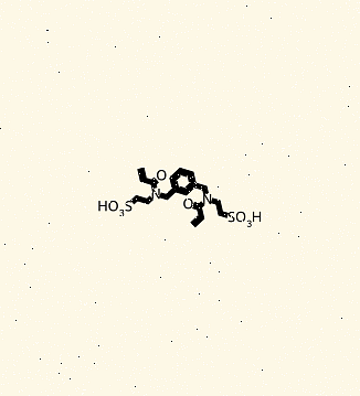 C=CC(=O)N(CCS(=O)(=O)O)Cc1cccc(CN(CCS(=O)(=O)O)C(=O)C=C)c1